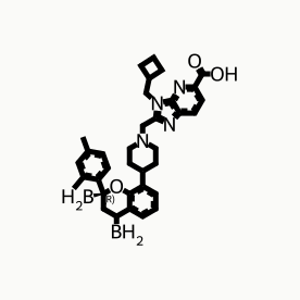 BC1C[C@](B)(c2ccc(C)cc2C)Oc2c1cccc2C1CCN(Cc2nc3ccc(C(=O)O)nc3n2CC2CCC2)CC1